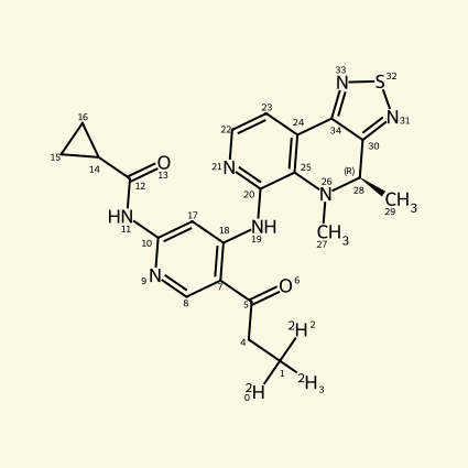 [2H]C([2H])([2H])CC(=O)c1cnc(NC(=O)C2CC2)cc1Nc1nccc2c1N(C)[C@H](C)c1nsnc1-2